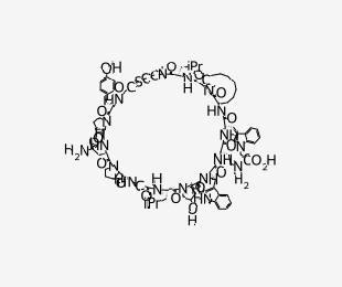 CC(C)C[C@@H]1NC(=O)C2CCCCCCCCC(NC(=O)[C@H](Cc3cn(CC(=O)O)c4ccccc34)NC(=O)[C@H](CCN)NC(=O)[C@H](Cc3c[nH]c4ccccc34)NC(=O)[C@@H]3C[C@@H](O)CN3C(=O)[C@H](CC(C)C)NC(=O)CNC(=O)[C@H]3CCCN3C(=O)[C@@H](CC(N)=O)NC(=O)[C@@H]3CCCN3C(=O)[C@H](Cc3ccc(O)cc3)NC(=O)CSCCN(C)C1=O)C(=O)N2C